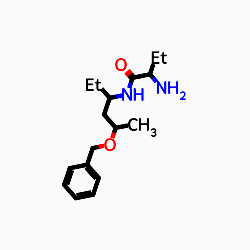 CCC(CC(C)OCc1ccccc1)NC(=O)C(N)CC